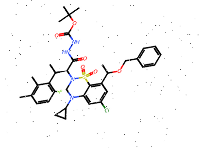 Cc1ccc(F)c(C(C)[C@@H](C(=O)NNC(=O)OC(C)(C)C)N2CN(C3CC3)c3cc(Cl)cc(C(C)OCc4ccccc4)c3S2(=O)=O)c1C